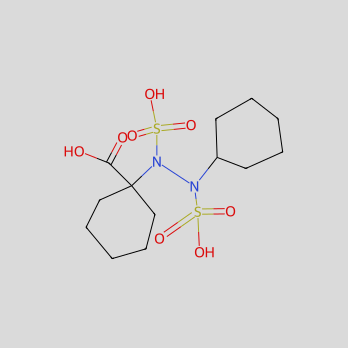 O=C(O)C1(N(N(C2CCCCC2)S(=O)(=O)O)S(=O)(=O)O)CCCCC1